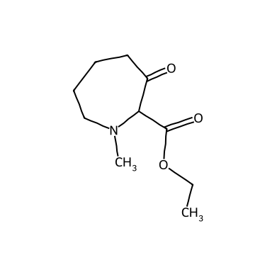 CCOC(=O)C1C(=O)CCCCN1C